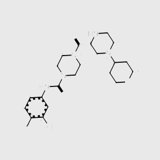 O=C(Nc1ccc(Cl)c(Cl)c1)N1CCN(C(=O)[C@H]2CN(C3CCSCC3)CCN2)CC1